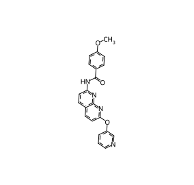 COc1ccc(C(=O)Nc2ccc3ccc(Oc4cccnc4)nc3n2)cc1